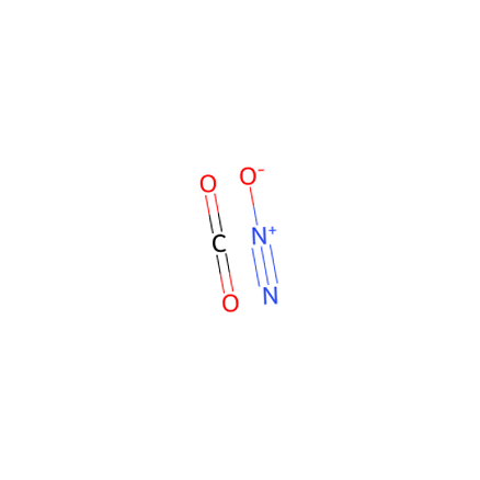 N#[N+][O-].O=C=O